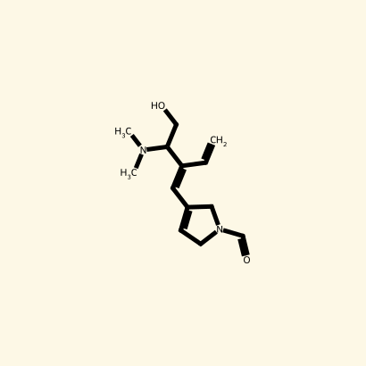 C=C/C(=C\C1=CCN(C=O)C1)C(CO)N(C)C